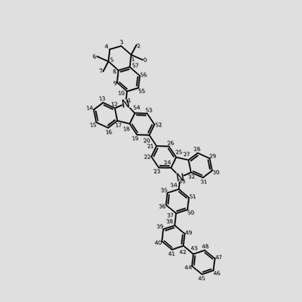 CC1(C)CCC(C)(C)c2cc(-n3c4ccccc4c4cc(-c5ccc6c(c5)c5ccccc5n6-c5ccc(-c6cccc(-c7ccccc7)c6)cc5)ccc43)ccc21